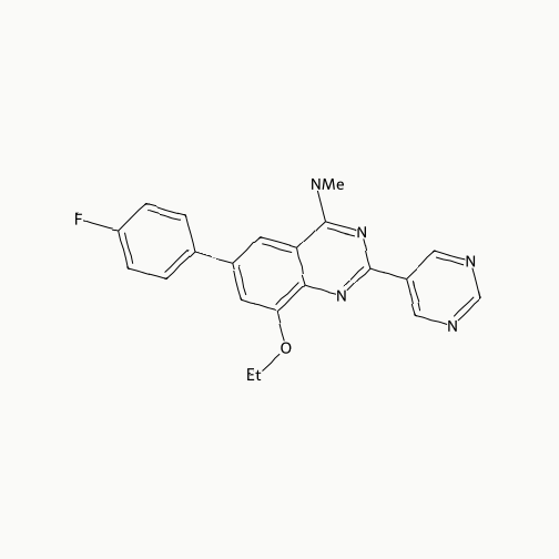 CCOc1cc(-c2ccc(F)cc2)cc2c(NC)nc(-c3cncnc3)nc12